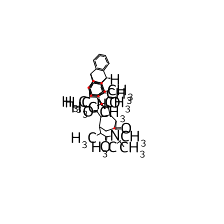 Cc1cc2c(c(C)c1N1C(=O)C3C4CCC(C(C)C(=O)N(C(C)(C)C)C4=O)C3C1=O)[C@@H]1c3ccccc3C2c2cc(C)c(C(C)(C)C)c(C)c21